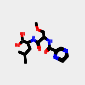 COCC(NC(=O)c1cnccn1)C(=O)NC(CC(C)C)B(O)O